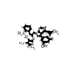 CC(=O)c1c(/N=C(\Cc2ccccc2C)Cn2nc(-c3cc(O)cc(F)c3)c3c(C4CC4C)ncnc32)sc(C)c1C